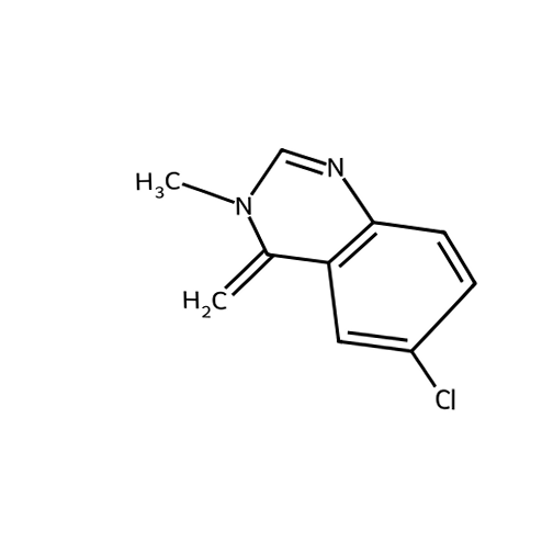 C=C1c2cc(Cl)ccc2N=CN1C